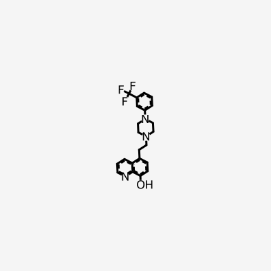 Oc1ccc(CCN2CCN(c3cccc(C(F)(F)F)c3)CC2)c2cccnc12